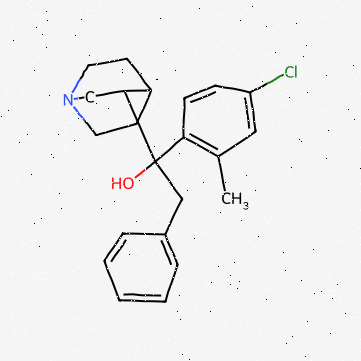 Cc1cc(Cl)ccc1C(O)(Cc1ccccc1)C1CN2CCC1CC2